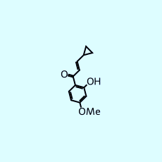 COc1ccc(C(=O)C=CC2CC2)c(O)c1